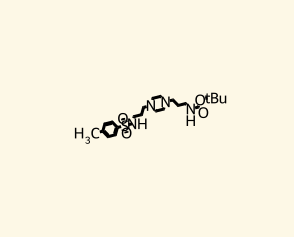 Cc1ccc(S(=O)(=O)NCCCN2CCN(CCCNC(=O)OC(C)(C)C)CC2)cc1